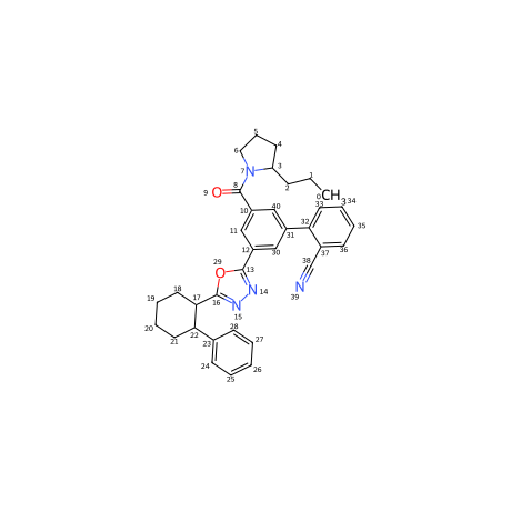 CCCC1CCCN1C(=O)c1cc(-c2nnc(C3CCCCC3c3ccccc3)o2)cc(-c2ccccc2C#N)c1